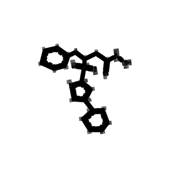 O=C(CC(Cc1ccccc1)S(=O)(=O)c1cc(-c2ccccc2)cs1)NO